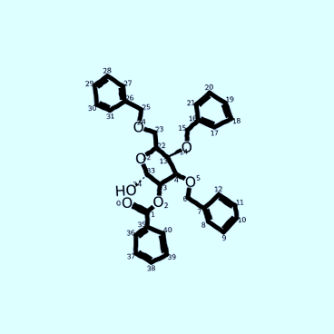 O=C(OC1C(OCc2ccccc2)[C@H](OCc2ccccc2)C(COCc2ccccc2)O[C@H]1O)c1ccccc1